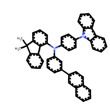 CC1(C)c2ccccc2-c2c(N(c3ccc(-n4c5ccccc5c5ccccc54)cc3)c3cccc(-c4ccc5ccccc5c4)c3)cccc21